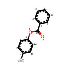 CCc1ccc(OC(=O)c2cc[c]cc2)cc1